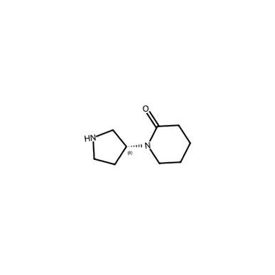 O=C1CCCCN1[C@@H]1CCNC1